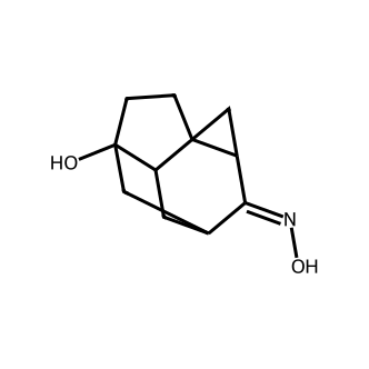 O/N=C1\C2CC3C(O)(CCC34CC14)C2